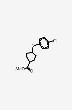 COC(=O)C1CCC(Sc2ccc(Cl)cc2)CC1